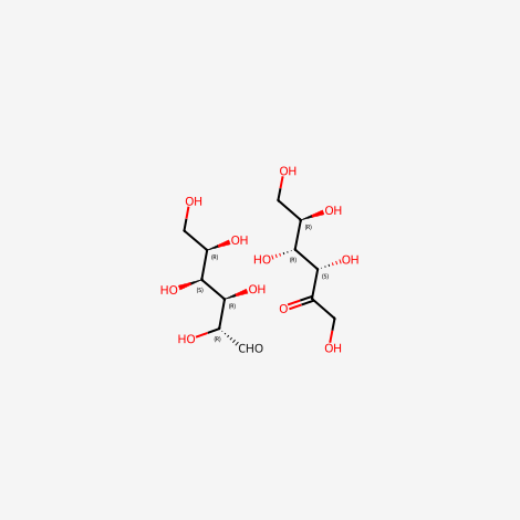 O=C(CO)[C@@H](O)[C@H](O)[C@H](O)CO.O=C[C@H](O)[C@H](O)[C@@H](O)[C@H](O)CO